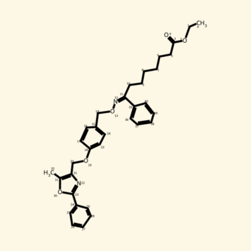 CCOC(=O)CCCCCC/C(=N/OCc1ccc(OCc2nc(-c3ccccc3)oc2C)cc1)c1ccccc1